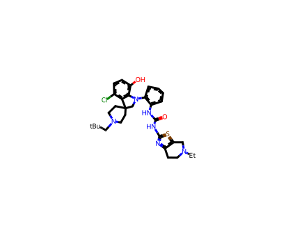 CCN1CCc2nc(NC(=O)Nc3ccccc3N3CC4(CCN(CC(C)(C)C)CC4)c4c(Cl)ccc(O)c43)sc2C1